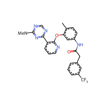 CNc1ncnc(-c2cccnc2Oc2cc(NC(=O)Cc3cccc(C(F)(F)F)c3)ccc2C)n1